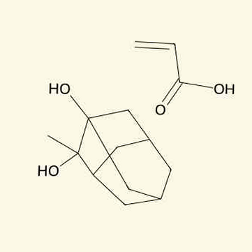 C=CC(=O)O.CC1(O)C2CC3CC(C2)CC1(O)C3